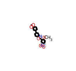 COc1ccc([N+](=O)[O-])cc1-c1nc2cc(-c3ccc4c(c3)OCO4)ccc2o1